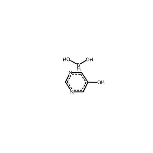 OBO.Oc1cncnc1